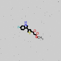 COC(=O)CC(=O)c1cc(-c2c[nH]c3cc(F)ccc23)cs1